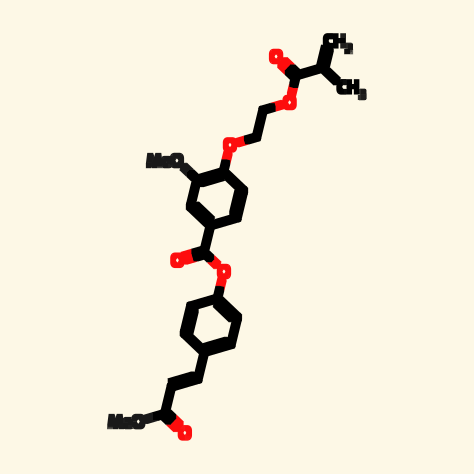 C=C(C)C(=O)OCCOc1ccc(C(=O)Oc2ccc(C=CC(=O)OC)cc2)cc1OC